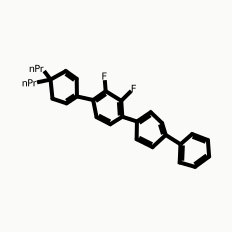 CCCC1(CCC)C=CC(c2ccc(-c3ccc(-c4ccccc4)cc3)c(F)c2F)=CC1